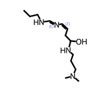 CCCN/C=N/C=C\CC(O)NCCCN(C)C